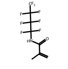 C=C(C)C(=O)NC(F)(F)C(F)(F)C(F)(F)C(F)(F)F